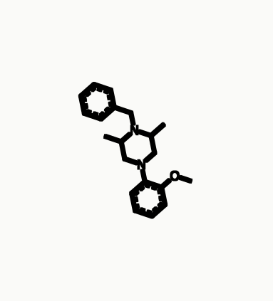 COc1ccccc1N1CC(C)N(Cc2ccccc2)C(C)C1